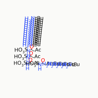 CC(=O)CC(=O)NS(=O)(=O)O.CC(=O)CC(=O)NS(=O)(=O)O.CC(=O)CC(=O)NS(=O)(=O)O.CC(=O)CC(=O)NS(=O)(=O)O.CC(C)(C)N.CC(C)(C)N.CC(C)(C)N.CC(C)(C)N.CC(C)(C)N.CC(C)(C)N.CC(C)(C)N.CC(C)(C)N.CC(C)(C)N.CC(C)(C)N.CC(C)(C)N.CC(C)(C)N.CC(C)(C)N.CC(C)(C)N.CC(C)(C)N.CC(C)(C)N.CC(C)(C)N.CC(C)(C)N.CC(C)(C)N